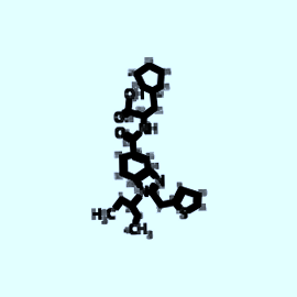 CCC(CC)n1c(Cc2cccs2)nc2cc(C(=O)NC(CC3CCCCC3)C(=O)O)ccc21